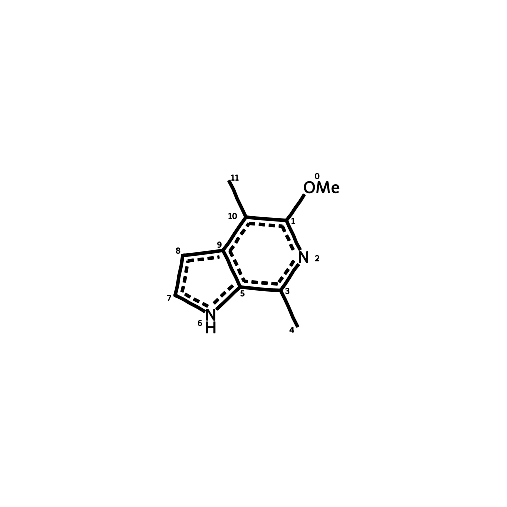 COc1nc(C)c2[nH]ccc2c1C